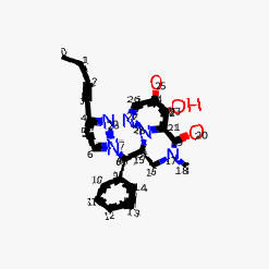 CCC#Cc1ccn([C@H](c2ccccc2)[C@@H]2CN(C)C(=O)c3c(O)c(=O)cnn32)n1